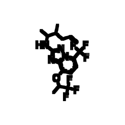 C=CCC(C)C(C)Nc1nc2c(OC(C)C(F)(F)F)ccc(C(F)(F)F)n2n1